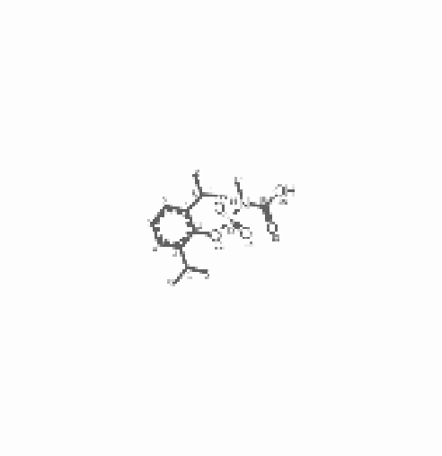 CC(C)c1cccc(C(C)C)c1OS(=O)(=O)N(C)C(=O)O